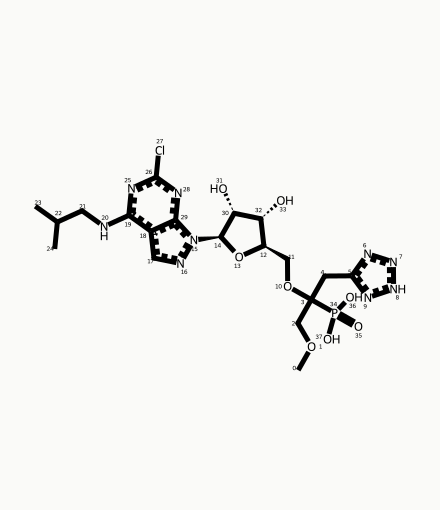 COCC(Cc1nn[nH]n1)(OC[C@H]1O[C@@H](n2ncc3c(NCC(C)C)nc(Cl)nc32)[C@H](O)[C@@H]1O)P(=O)(O)O